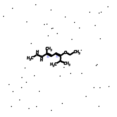 CCO/C(=C/C=C(\C)NNC)C(C)C